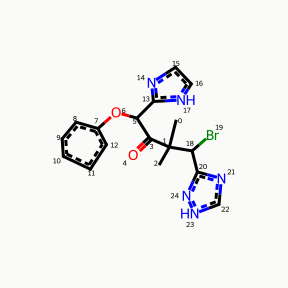 CC(C)(C(=O)C(Oc1ccccc1)c1ncc[nH]1)C(Br)c1nc[nH]n1